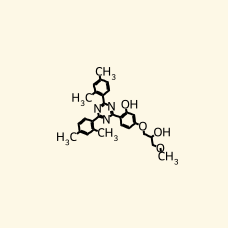 COCC(O)COc1ccc(-c2nc(-c3ccc(C)cc3C)nc(-c3ccc(C)cc3C)n2)c(O)c1